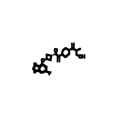 CC(CO)N[C@H]1CC[C@@H](NC(=O)[C@H]2C[C@H](Oc3cc(F)cc4scnc34)C2)CC1